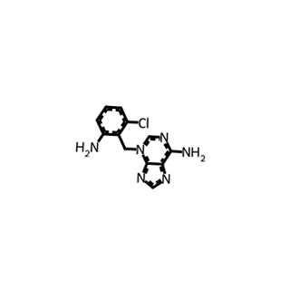 Nc1cccc(Cl)c1Cn1cnc(N)c2ncnc1-2